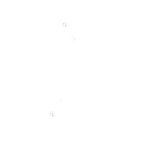 CC1(C)c2ccccc2-c2ccc(-c3cc(-c4ccc5ccc6ccc7nc(-c8ccccc8)oc7c6c5c4)cc(-c4ccc5ccc6ccc7nc(-c8ccccc8)oc7c6c5c4)c3)cc21